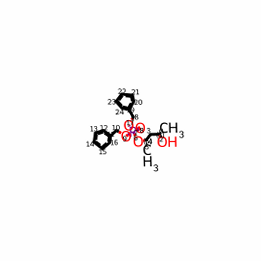 C[C@H](O)C[C@H](C)OP(=O)(OCc1ccccc1)OCc1ccccc1